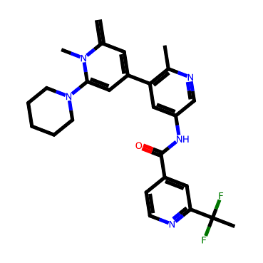 C=C1C=C(c2cc(NC(=O)c3ccnc(C(C)(F)F)c3)cnc2C)C=C(N2CCCCC2)N1C